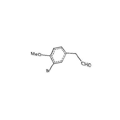 COc1ccc(C[C]=O)cc1Br